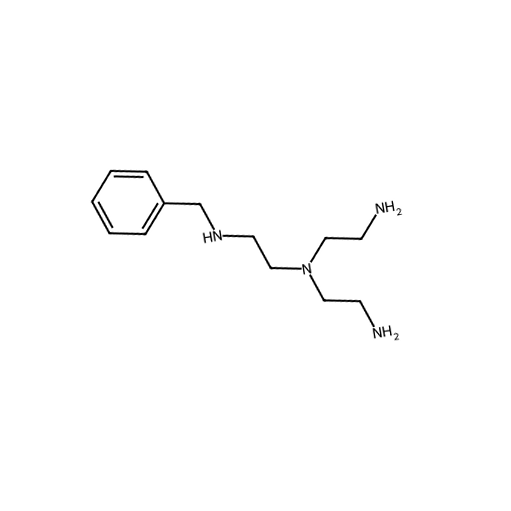 NCCN(CCN)CCNCc1ccccc1